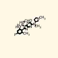 Cc1cc(F)cc(O)c1-c1nc2nc(N(C)C3CCN(C)C3)cnc2n1C.O=CO